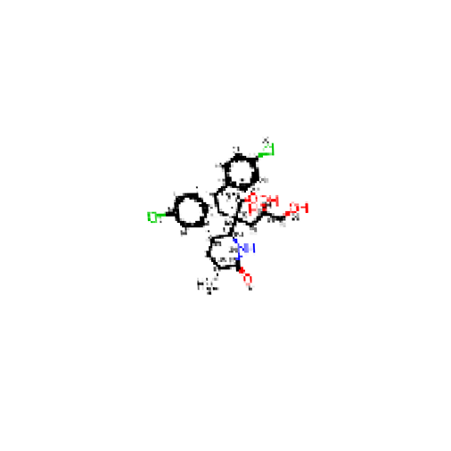 C[C@@H]1C[C@H](c2cccc(Cl)c2)[C@@H]([C@@](CCc2ccc(Cl)cc2)(C[C@@H](O)CO)[C@H](C)O)NC1=O